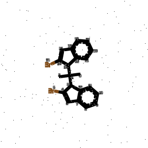 CC(C)(C1C(Br)=Cc2ccccc21)C1C(Br)=Cc2ccccc21